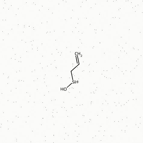 C=CC[SiH]O